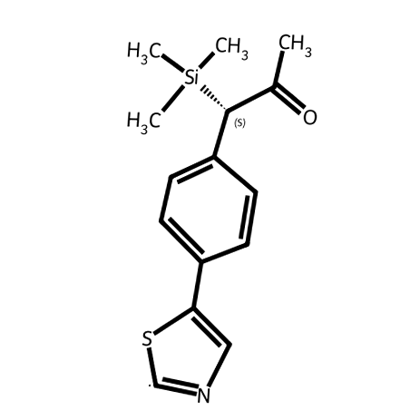 CC(=O)[C@H](c1ccc(-c2cn[c]s2)cc1)[Si](C)(C)C